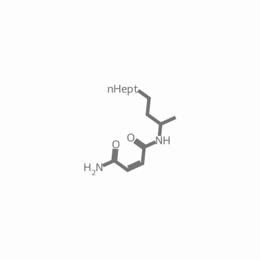 CCCCCCCCCC(C)NC(=O)/C=C\C(N)=O